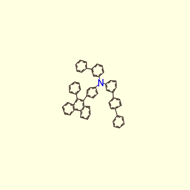 c1ccc(-c2ccc(-c3cccc(N(c4ccc(-c5c(-c6ccccc6)c6ccccc6c6ccccc56)cc4)c4cccc(-c5ccccc5)c4)c3)cc2)cc1